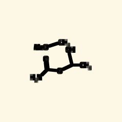 CC(O)OC(N)=O.COC